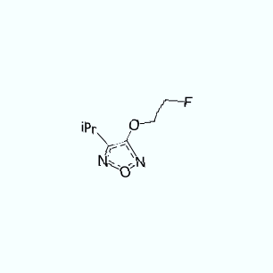 CC(C)c1nonc1OCCF